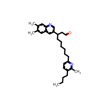 CCCCc1ccc(CCCCCCC(CC=O)c2cnc3cc(C)c(C)cc3c2)nc1C